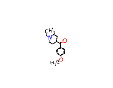 CCN1CCC(C(=O)c2ccc(OC)cc2)CC1